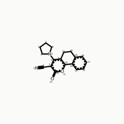 N#Cc1c(N2CCCC2)c2c(oc1=O)-c1ccccc1CC2